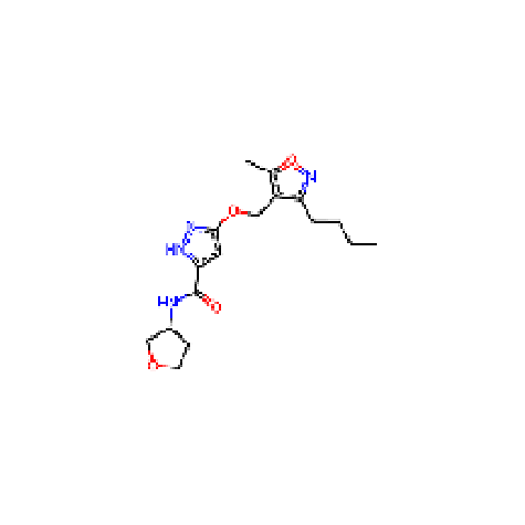 CCCCc1noc(C)c1COc1cc(C(=O)NC2CCOC2)[nH]n1